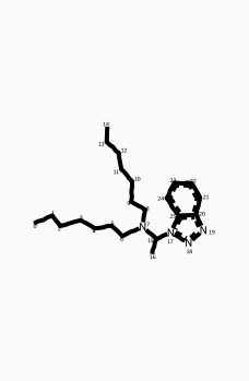 CCCCCCCN(CCCCCCC)C(C)n1nnc2ccccc21